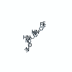 CCN(CC)CCOc1cnc2[nH]cc(Cc3ccc(NCc4ccc(C(F)(F)F)cc4)nc3)c2c1